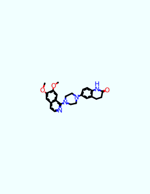 COc1cc2ccnc(N3CCN(c4ccc5c(c4)CCC(=O)N5)CC3)c2cc1OC